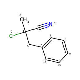 CC(Cl)(C#N)Cc1ccccc1